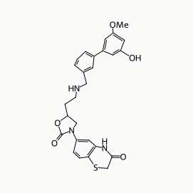 COc1cc(O)cc(-c2cccc(CNCCC3CN(c4ccc5c(c4)NC(=O)CS5)C(=O)O3)c2)c1